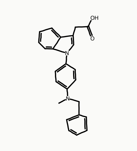 CN(Cc1ccccc1)c1ccc(-n2cc(CC(=O)O)c3ccccc32)cc1